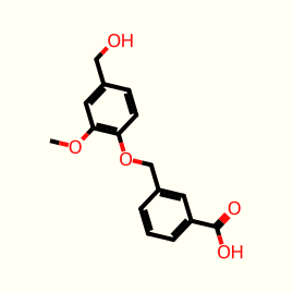 COc1cc(CO)ccc1OCc1cccc(C(=O)O)c1